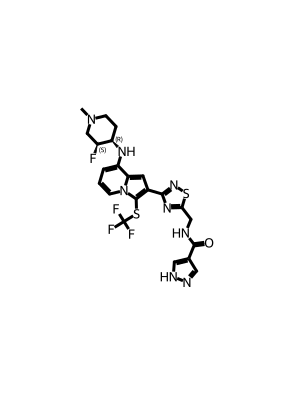 CN1CC[C@@H](Nc2cccn3c(SC(F)(F)F)c(-c4nsc(CNC(=O)c5cn[nH]c5)n4)cc23)[C@@H](F)C1